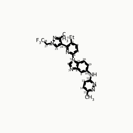 CCc1ccc(-n2cnc3cc(Nc4ccc(C)nn4)ccc32)nc1-c1cn(CC(F)(F)F)nc1C